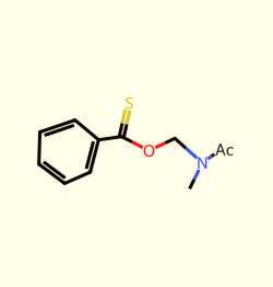 CC(=O)N(C)COC(=S)c1ccccc1